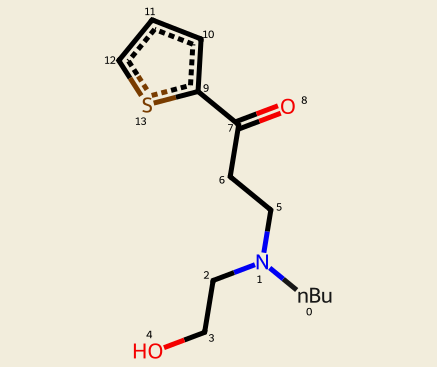 CCCCN(CCO)CCC(=O)c1cccs1